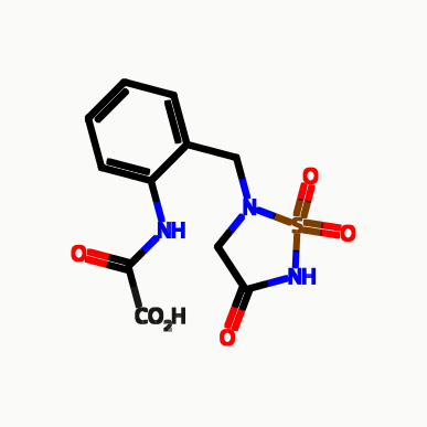 O=C1CN(Cc2ccccc2NC(=O)C(=O)O)S(=O)(=O)N1